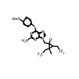 COc1ccc(Sc2nc(N)nc3c2ncn3CC2([O])C(CC(F)(F)F)C2(C)CC(F)(F)F)cc1